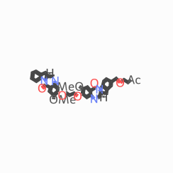 COc1cc2c(cc1OCCCOc1cc3c(cc1OC)C(=O)N1c4ccc(COCCC(C)=O)cc4C[C@H]1C=N3)N=C[C@@H]1Cc3ccccc3N1C2=O